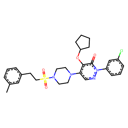 Cc1cccc(CCS(=O)(=O)N2CCN(c3cnn(-c4cccc(Cl)c4)c(=O)c3OC3CCCC3)CC2)c1